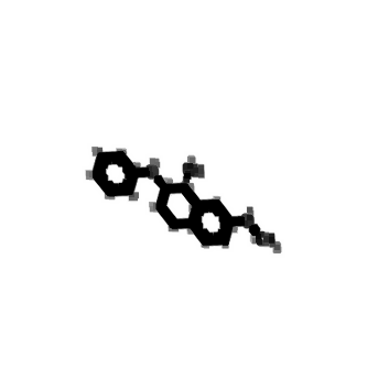 COc1ccc2c(c1)[C@@H](O)[C@H](Oc1ccccc1)CC2